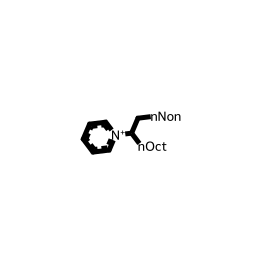 CCCCCCCCCCC(CCCCCCCC)[n+]1ccccc1